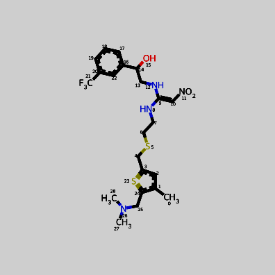 Cc1cc(CSCCN/C(=C/[N+](=O)[O-])NCC(O)c2cccc(C(F)(F)F)c2)sc1CN(C)C